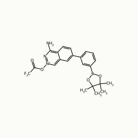 CC1(C)OB(c2cccc(-c3ccc4c(N)n[n+](OC(=O)C(F)(F)F)cc4c3)c2)OC1(C)C